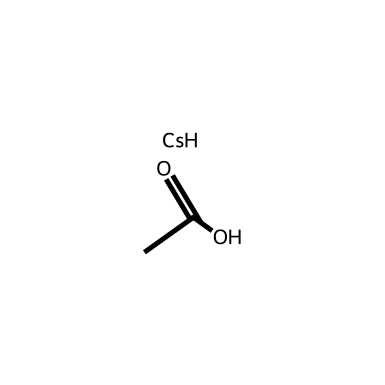 CC(=O)O.[CsH]